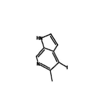 Cc1ncc2[nH]ccc2c1I